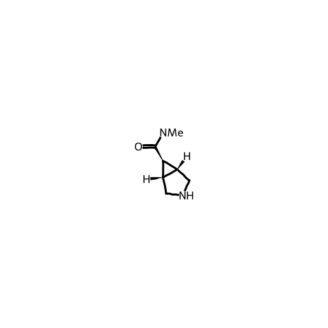 CNC(=O)[C@H]1[C@@H]2CNC[C@@H]21